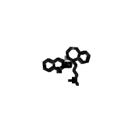 CN(C)CCC[C@]1(O)c2ccccc2CCC[C@H]1c1cnc2ccccc2c1